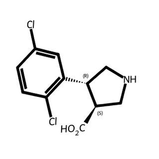 O=C(O)[C@@H]1CNC[C@H]1c1cc(Cl)ccc1Cl